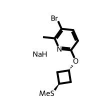 CS[C@H]1C[C@H](Oc2ccc(Br)c(C)n2)C1.[NaH]